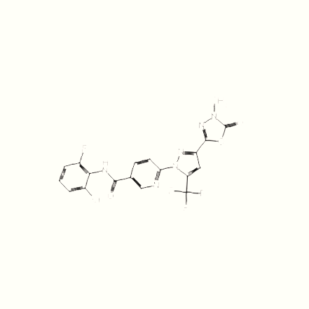 Cn1nc(-c2cc(C(F)(F)F)n(-c3ccc(C(=O)Nc4c(F)cccc4Cl)cn3)n2)oc1=O